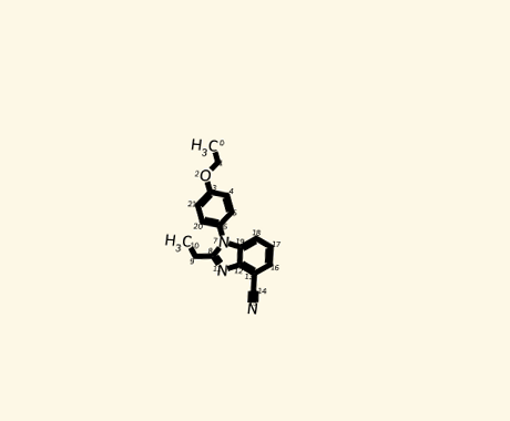 CCOc1ccc(-n2c(CC)nc3c(C#N)cccc32)cc1